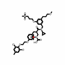 COCCCc1cc(CN(C(=O)C(Cc2ccc(OCCOc3c(Cl)cc(C)cc3Cl)cc2)CN(C(=O)O)C(C)(C)C)C2CC2)cc(OCCCS(C)(=O)=O)c1